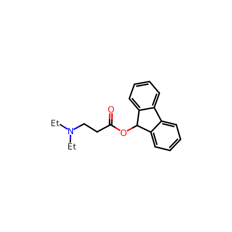 CCN(CC)CCC(=O)OC1c2ccccc2-c2ccccc21